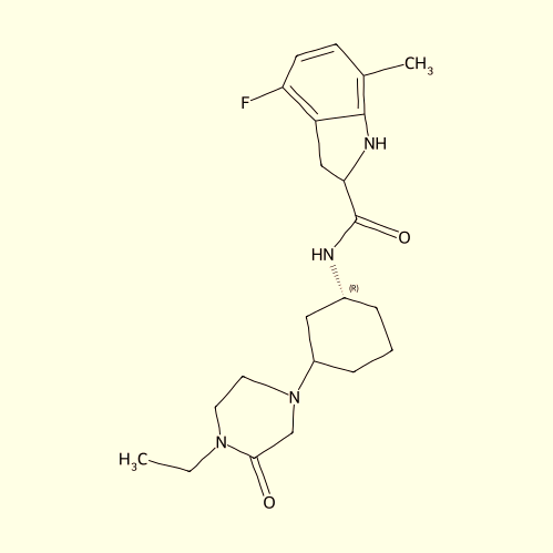 CCN1CCN(C2CCC[C@@H](NC(=O)C3Cc4c(F)ccc(C)c4N3)C2)CC1=O